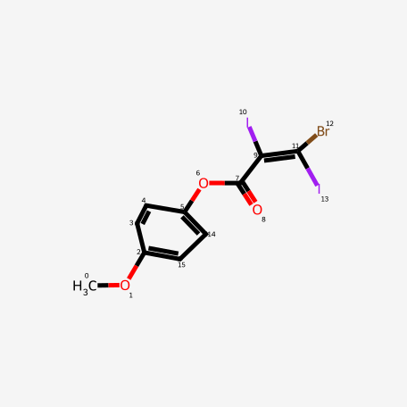 COc1ccc(OC(=O)C(I)=C(Br)I)cc1